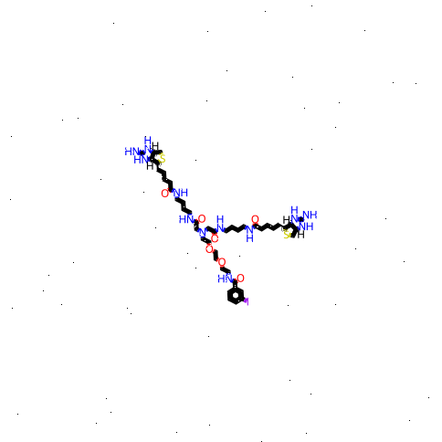 N=C1N[C@H]2[C@H](CS[C@H]2CCCCC(=O)NCCCCNC(=O)CN(CCOCCOCCNC(=O)c2cccc(I)c2)CC(=O)NCCCCNC(=O)CCCC[C@@H]2SC[C@@H]3NC(=N)N[C@@H]32)N1